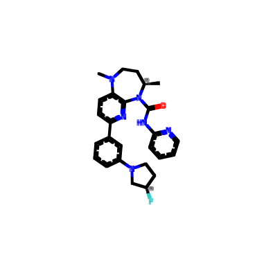 C[C@@H]1CCN(C)c2ccc(-c3cccc(N4CC[C@@H](F)C4)c3)nc2N1C(=O)Nc1ccccn1